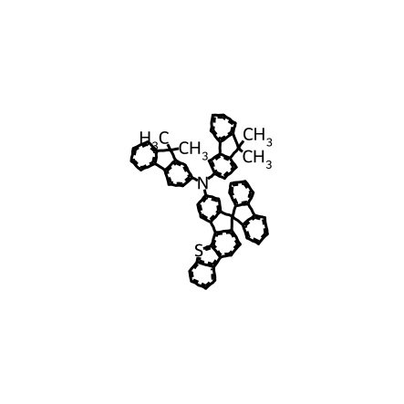 CC1(C)c2ccccc2-c2cc(N(c3ccc4c(c3)C(C)(C)c3ccccc3-4)c3ccc4c(c3)C3(c5ccccc5-c5ccccc53)c3ccc5c(sc6ccccc65)c3-4)ccc21